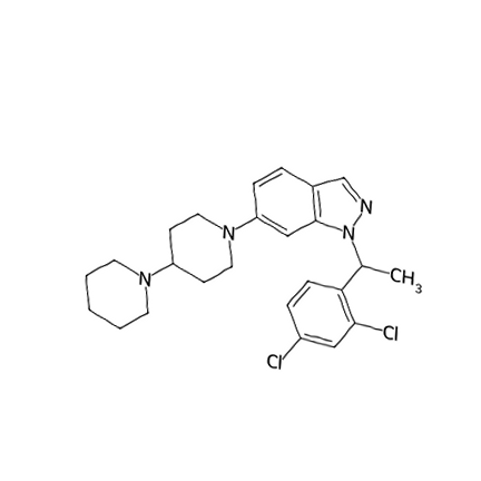 CC(c1ccc(Cl)cc1Cl)n1ncc2ccc(N3CCC(N4CCCCC4)CC3)cc21